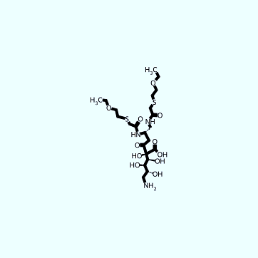 CCOCCSCC(=O)NC[C@H](CC(=O)[C@](O)(C(=O)O)[C@@H](O)[C@H](O)[C@H](O)CN)NC(=O)CSCCOCC